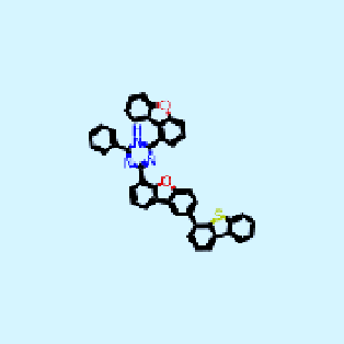 c1ccc(C2=NC(c3cccc4c3oc3ccc(-c5cccc6c5sc5ccccc56)cc34)=NC(c3cccc4oc5ccccc5c34)N2)cc1